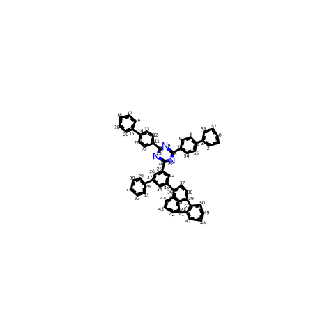 c1ccc(-c2ccc(-c3nc(-c4ccc(-c5ccccc5)cc4)nc(-c4cc(-c5ccccc5)cc(-c5ccc6c7c(cccc57)-c5ccccc5-6)c4)n3)cc2)cc1